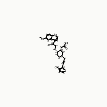 COc1ccc2nccc([C@H](O)CC[C@@H]3CCN(CC#Cc4sccc4Cl)C[C@@H]3CC(=O)O)c2c1